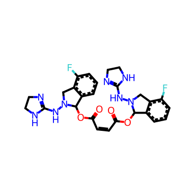 O=C(/C=C\C(=O)OC1c2cccc(F)c2CN1NC1=NCCN1)OC1c2cccc(F)c2CN1NC1=NCCN1